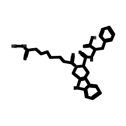 O=C(CCCCCCC(=O)N1Cc2[nH]c3ccccc3c2CC1C(=O)NC(Cc1ccccc1)C(=O)O)NO